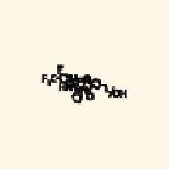 COc1ccc(CCC(C)(C)O)cc1C(=O)NC1C2CCC(/C2=C/C2CCCC2)C1C(=O)Nc1ccc(F)c(C(F)(F)F)c1